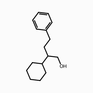 OCC(CCc1ccccc1)C1CCCCC1